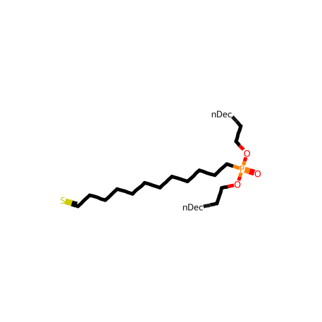 CCCCCCCCCCCCOP(=O)(CCCCCCCCCCCC=S)OCCCCCCCCCCCC